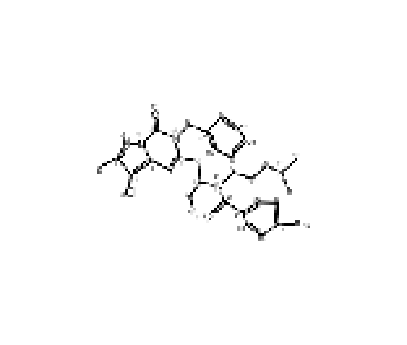 CCC(Cc1cc2c(Cl)c(C)nn2c(=O)n1Cc1ccccc1)N(CCCN(C)C)C(=O)c1ccc(F)cc1